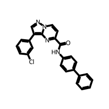 O=C(Nc1ccc(-c2ccccc2)cc1)c1ccn2ncc(-c3cccc(Cl)c3)c2n1